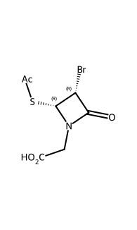 CC(=O)S[C@@H]1[C@H](Br)C(=O)N1CC(=O)O